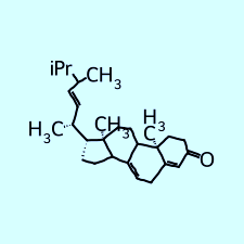 CC(C)C(C)/C=C/[C@@H](C)[C@H]1CCC2C3=CCC4=CC(=O)CC[C@]4(C)C3CC[C@@]21C